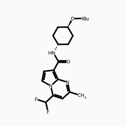 Cc1cc(C(F)F)n2ccc(C(=O)N[C@H]3CC[C@H](OC(C)(C)C)CC3)c2n1